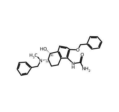 CN(Cc1ccccc1)[C@H]1CCc2c(ccc(OCc3ccccc3)c2NC(N)=O)[C@H]1O